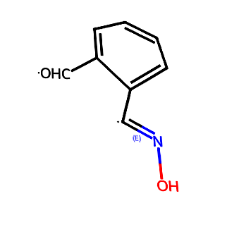 O=[C]c1ccccc1/[C]=N/O